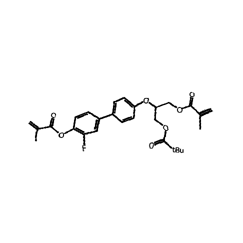 C=C(C)C(=O)OCC(COC(=O)C(C)(C)C)Oc1ccc(-c2ccc(OC(=O)C(=C)C)c(F)c2)cc1